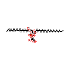 CCCCCCCCCCCCCCCCCCCC(=O)O[C@H](COC(=O)CCCCCCCCCCCCCCC)COP(=O)(O)OC[C@@H](O)CO